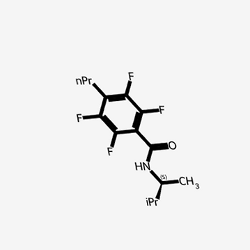 CCCc1c(F)c(F)c(C(=O)N[C@@H](C)C(C)C)c(F)c1F